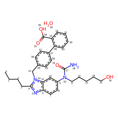 CCCCc1nc2ccc(N(CCCCCO)C(N)=O)cc2n1Cc1ccc(-c2ccccc2C(=O)O)cc1.O